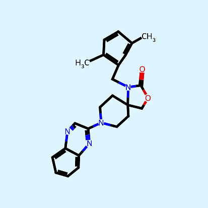 Cc1ccc(C)c(CN2C(=O)OCC23CCN(c2cnc4ccccc4n2)CC3)c1